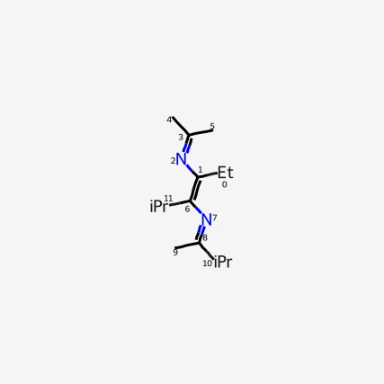 CC/C(N=C(C)C)=C(\N=C(/C)C(C)C)C(C)C